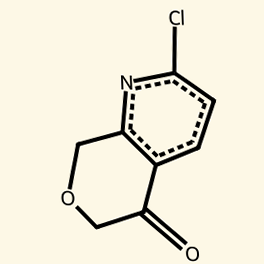 O=C1COCc2nc(Cl)ccc21